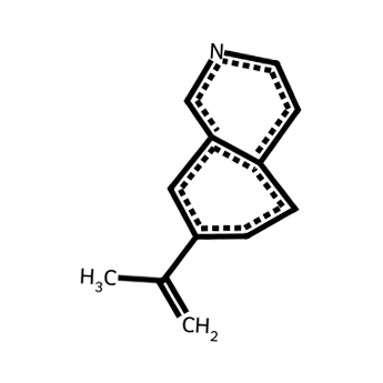 C=C(C)c1ccc2ccncc2c1